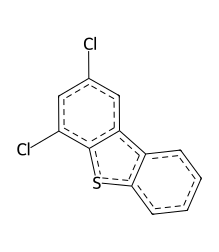 Clc1cc(Cl)c2sc3ccccc3c2c1